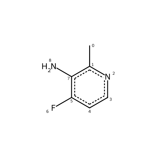 Cc1nccc(F)c1N